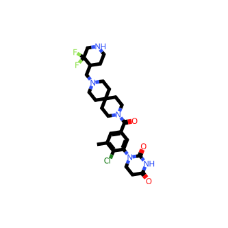 Cc1cc(C(=O)N2CCC3(CCN(CC4CCNCC4(F)F)CC3)CC2)cc(N2CCC(=O)NC2=O)c1Cl